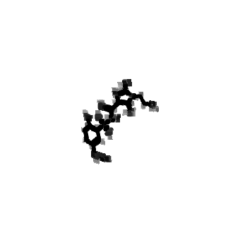 COc1ccc(Br)c(S(=O)(=O)NC(=O)c2nc(Cl)n(CCC(F)(F)F)c2Cl)c1